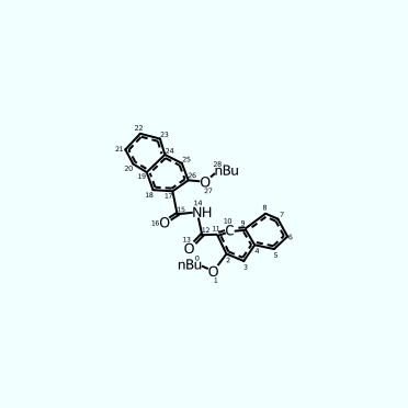 CCCCOc1cc2ccccc2cc1C(=O)NC(=O)c1cc2ccccc2cc1OCCCC